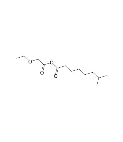 CCOCC(=O)OC(=O)CCCCCC(C)C